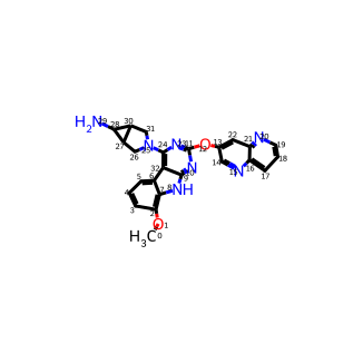 COc1cccc2c1[nH]c1nc(Oc3cnc4cccnc4c3)nc(N3CC4C(N)C4C3)c12